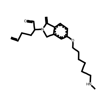 C=CCCC(C=O)N1Cc2cc(OCCCCCCNC)ccc2C1=C